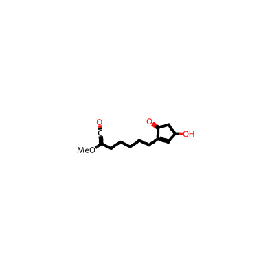 COC(=C=O)CCCCCC1=CC(O)CC1=O